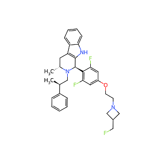 C[C@@H]1Cc2c([nH]c3ccccc23)[C@@H](c2c(F)cc(OCCN3CC(CF)C3)cc2F)N1C[C@H](C)c1ccccc1